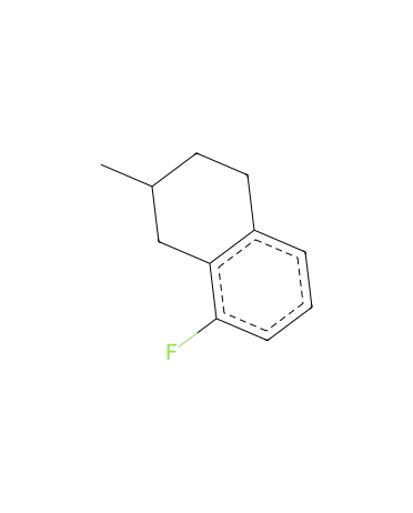 CC1CCc2cccc(F)c2C1